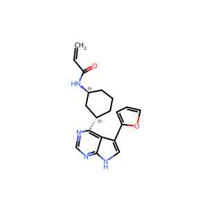 C=CC(=O)N[C@H]1CCC[C@H](c2ncnc3[nH]cc(-c4ccco4)c23)C1